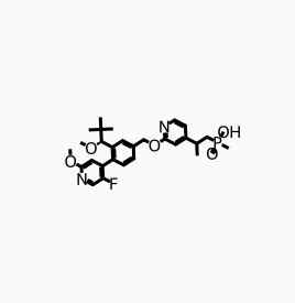 COc1cc(-c2ccc(COc3cc(C(C)CP(C)(=O)O)ccn3)cc2[C@@H](OC)C(C)(C)C)c(F)cn1